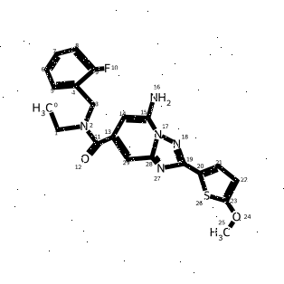 CCN(Cc1ccccc1F)C(=O)c1cc(N)n2nc(-c3ccc(OC)s3)nc2c1